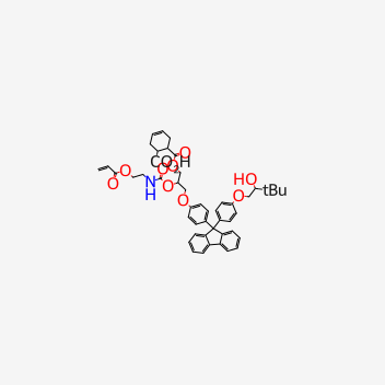 C=CC(=O)OCCNC(=O)OC(COC(=O)C1CC=CCC1C(=O)O)COc1ccc(C2(c3ccc(OCC(O)C(C)(C)C)cc3)c3ccccc3-c3ccccc32)cc1